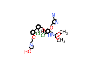 COCC(COC)NCc1cc(Cl)c(OCc2cccc(-c3cccc(OCCCN4CCC(O)C4)c3Cl)c2C)cc1OCc1cncc(C#N)c1